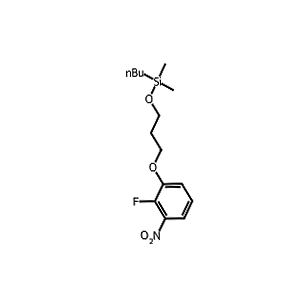 CCCC[Si](C)(C)OCCCOc1cccc([N+](=O)[O-])c1F